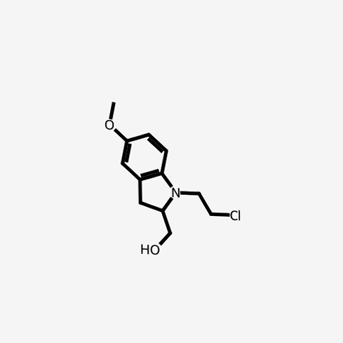 COc1ccc2c(c1)CC(CO)N2CCCl